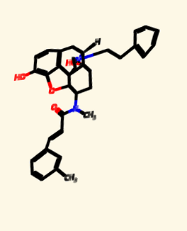 Cc1cccc(/C=C/C(=O)N(C)C2CC[C@@]3(O)[C@H]4Cc5ccc(O)c6c5[C@@]3(CCN4CCc3ccccc3)C2O6)c1